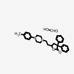 Cc1ccc(N2CCN(CCC3CC(c4ccccc4)(c4ccccc4)C(=O)O3)CC2)cc1.O=CO